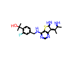 CC(=N)/C(C)=C1\C(=N)Sc2c(NCc3ccc(C(C)(C)O)c(F)c3)ncnc21